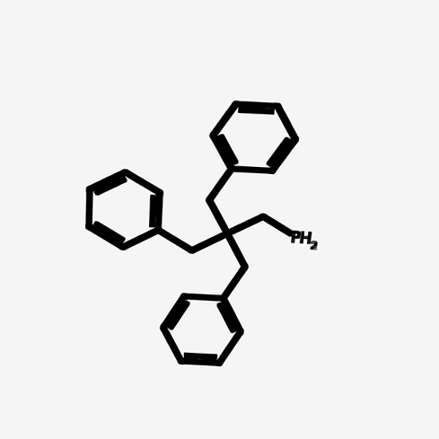 PCC(Cc1ccccc1)(Cc1ccccc1)Cc1ccccc1